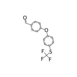 O=Cc1ccc(Oc2ccc(SC(F)(F)F)cc2)cc1